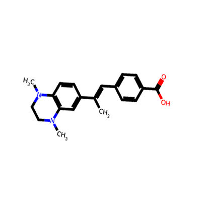 CC(=Cc1ccc(C(=O)O)cc1)c1ccc2c(c1)N(C)CCN2C